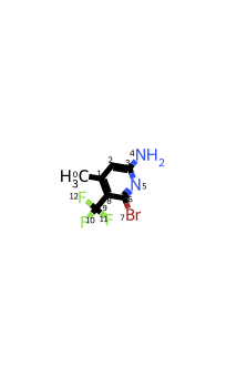 Cc1cc(N)nc(Br)c1C(F)(F)F